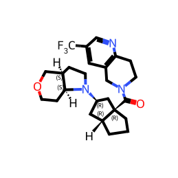 O=C(N1CCc2ncc(C(F)(F)F)cc2C1)[C@@]12CCC[C@@H]1C[C@@H](N1CC[C@@H]3COCC[C@@H]31)C2